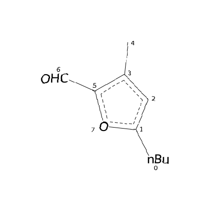 CCCCc1cc(C)c(C=O)o1